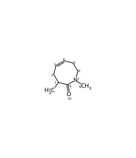 CC1C/C=C\CCN(C)C1=O